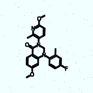 COc1ccc2c(c1)N(c1ccc(F)cc1C)CN(c1ccc(OC)nc1C)C2=O